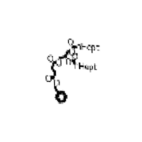 CCCCCCCC(=O)OCC(COC(=O)CCC(=O)OCc1ccccc1)OC(=O)CCCCCCC